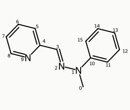 CN(N=Cc1ccccn1)c1ccccc1